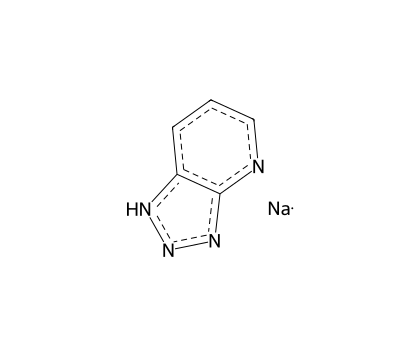 [Na].c1cnc2nn[nH]c2c1